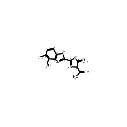 C=C1SC(c2nc3c(O)c(Cl)ccc3s2)=NC1C(=O)O